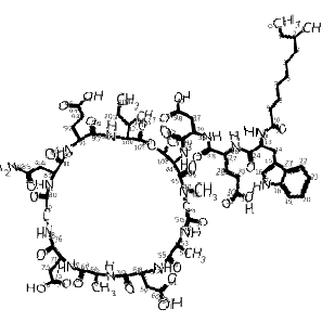 CCC(C)CCCCCCC(=O)NC(Cc1c[nH]c2ccccc12)C(=O)NC(CCC(=O)O)C(=O)NC(CC(=O)O)C(=O)NC1C(=O)N(C)CC(=O)NC(C)C(=O)NC(CC(=O)O)C(=O)NC(C)C(=O)NC(CC(=O)O)C(=O)NCC(=O)NC(CC(N)=O)C(=O)NC(CCC(=O)O)C(=O)NC(C(C)CC)C(=O)OC1C